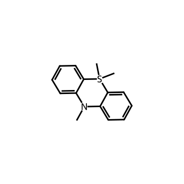 CN1c2ccccc2S(C)(C)c2ccccc21